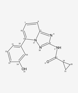 O=C(Nc1nc2cccc(-c3cccc(O)c3)n2n1)C1CC1